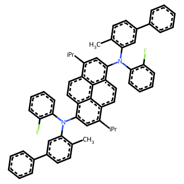 Cc1ccc(-c2ccccc2)cc1N(c1ccccc1F)c1cc(C(C)C)c2ccc3c(N(c4cc(-c5ccccc5)ccc4C)c4ccccc4F)cc(C(C)C)c4ccc1c2c43